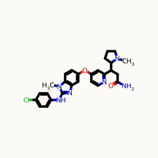 CN1CCCC1C(CC(N)=O)c1cc(Oc2ccc3c(c2)nc(Nc2ccc(Cl)cc2)n3C)ccn1